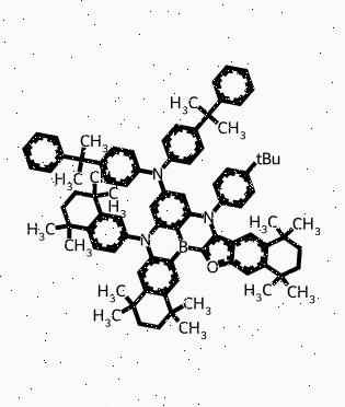 CC(C)(C)c1ccc(N2c3cc(N(c4ccc(C(C)(C)c5ccccc5)cc4)c4ccc(C(C)(C)c5ccccc5)cc4)cc4c3B(c3cc5c(cc3N4c3ccc4c(c3)C(C)(C)CCC4(C)C)C(C)(C)CCC5(C)C)c3oc4cc5c(cc4c32)C(C)(C)CCC5(C)C)cc1